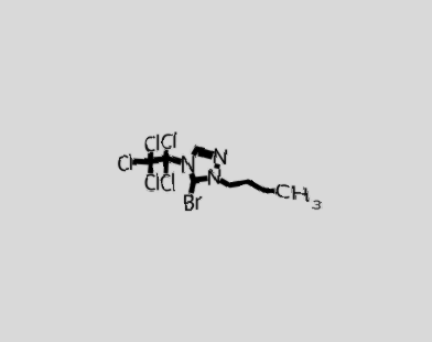 CCCCN1N=CN(C(Cl)(Cl)C(Cl)(Cl)Cl)C1Br